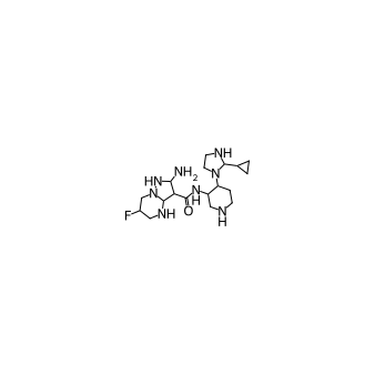 NC1NN2CC(F)CNC2C1C(=O)NC1CNCCC1N1CCNC1C1CC1